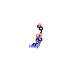 O=C(OCCc1ccc2c(c1)CCO2)N1CCC[C@@H]2[C@H]1CCN2c1ncnc2[nH]ccc12